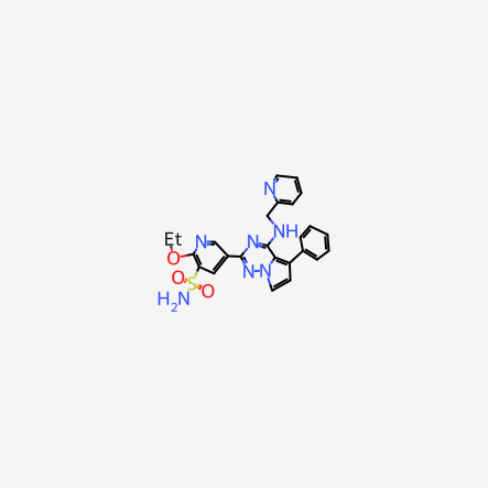 CCOc1ncc(-c2nc(NCc3ccccn3)c3c(-c4ccccc4)ccn3n2)cc1S(N)(=O)=O